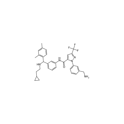 Cc1ccc(C(NCCC2CC2)c2cccc(NC(=O)c3cc(C(F)(F)F)nn3-c3cccc(CN)c3)c2)c(C)c1